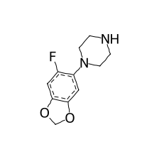 Fc1cc2c(cc1N1CCNCC1)OCO2